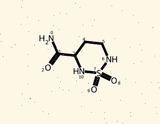 NC(=O)C1CCNS(=O)(=O)N1